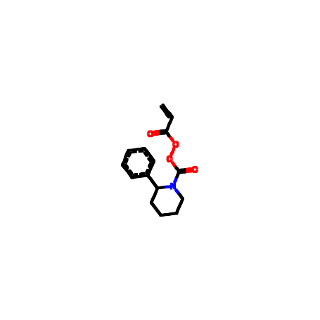 C=CC(=O)OOC(=O)N1CCCCC1c1ccccc1